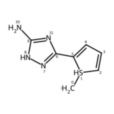 [CH2][SH]1C=CC=C1c1n[nH]c(N)n1